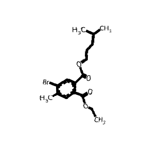 CCOC(=O)c1cc(C)c(Br)cc1C(=O)OCCCC(C)C